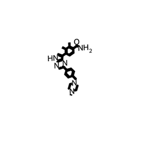 Cc1c(C(N)=O)ccc(-c2c[nH]c3ncc(-c4ccc(CN5CCN(C)CC5)cc4)nc23)c1C